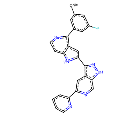 COc1cc(F)cc(-c2nccc3[nH]c(-c4n[nH]c5cnc(-c6ccccn6)cc45)cc23)c1